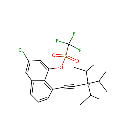 CC(C)[Si](C#Cc1cccc2cc(Cl)cc(OS(=O)(=O)C(F)(F)F)c12)(C(C)C)C(C)C